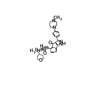 CN1CCCN(c2ccc(-c3n[nH]c4c3C(=O)c3c(NC(=O)NN(C)C5CCOCC5)cccc3-4)cc2)CC1